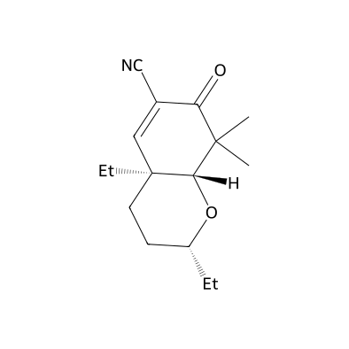 CC[C@@H]1CC[C@@]2(CC)C=C(C#N)C(=O)C(C)(C)[C@@H]2O1